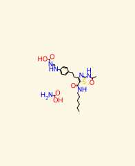 CCCCCCNC(=O)c1sc(NC(C)=O)nc1CCc1ccc(NC=NC(=O)O)cc1.NC(=O)O